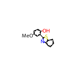 COc1ccc(O)c(-c2nc3ccccc3s2)c1